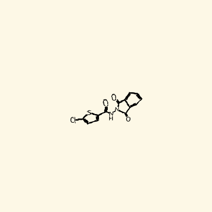 O=C(NN1C(=O)c2ccccc2C1=O)c1ccc(Cl)s1